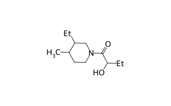 CCC(O)C(=O)N1CCC(C)C(CC)C1